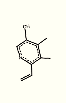 C=Cc1ncc(O)c(C)c1C